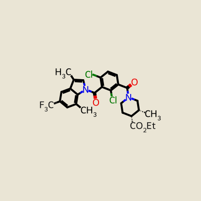 CCOC(=O)[C@@H]1CCN(C(=O)c2ccc(Cl)c(C(=O)n3cc(C)c4cc(C(F)(F)F)cc(C)c43)c2Cl)C[C@@H]1C